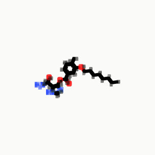 CCCCCCCCOc1cc(C(=O)Oc2nc[nH]c2C(N)=O)ccc1C